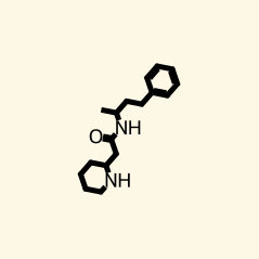 CC(CCc1ccccc1)NC(=O)CC1CCCCN1